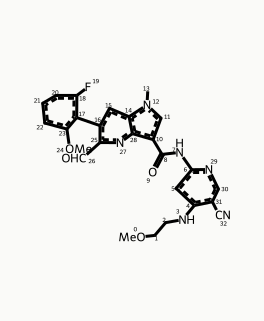 COCCNc1cc(NC(=O)c2cn(C)c3cc(-c4c(F)cccc4OC)c(C=O)nc23)ncc1C#N